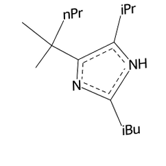 CCCC(C)(C)c1nc(C(C)CC)[nH]c1C(C)C